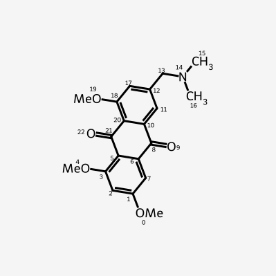 COc1cc(OC)c2c(c1)C(=O)c1cc(CN(C)C)cc(OC)c1C2=O